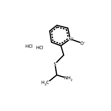 CC(N)SCc1cccc[n+]1[O-].Cl.Cl